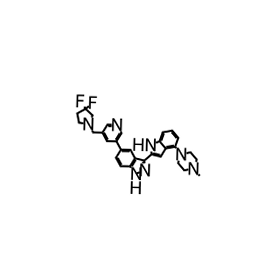 CN1CCN(c2cccc3[nH]c(-c4n[nH]c5ccc(-c6cncc(CN7CCC(F)(F)C7)c6)cc45)cc23)CC1